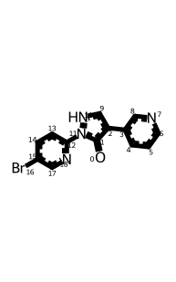 O=c1c(-c2cccnc2)c[nH]n1-c1ccc(Br)cn1